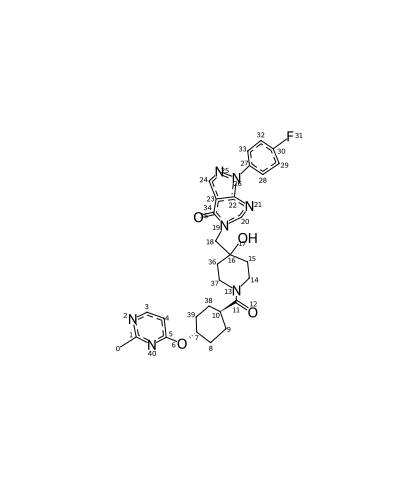 Cc1nccc(O[C@H]2CC[C@H](C(=O)N3CCC(O)(Cn4cnc5c(cnn5-c5ccc(F)cc5)c4=O)CC3)CC2)n1